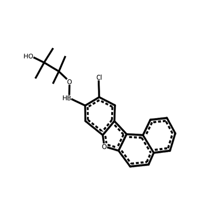 CC(C)(O)C(C)(C)OBc1cc2oc3ccc4ccccc4c3c2cc1Cl